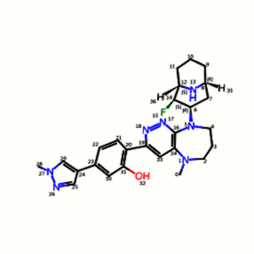 CN1CCCN([C@@H]2C[C@H]3CCC[C@H](N3)[C@@H]2F)c2nnc(-c3ccc(-c4cnn(C)c4)cc3O)cc21